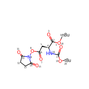 CCCCOC(=O)[C@H](CC(=O)ON1C(=O)CCC1=O)NC(=O)OC(C)(C)C